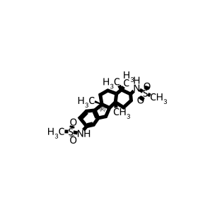 CC1(C)C(NS(C)(=O)=O)CCC2(C)C1CC[C@@]1(C)c3ccc(NS(C)(=O)=O)cc3CC21